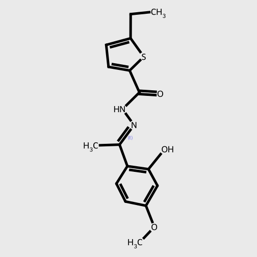 CCc1ccc(C(=O)N/N=C(\C)c2ccc(OC)cc2O)s1